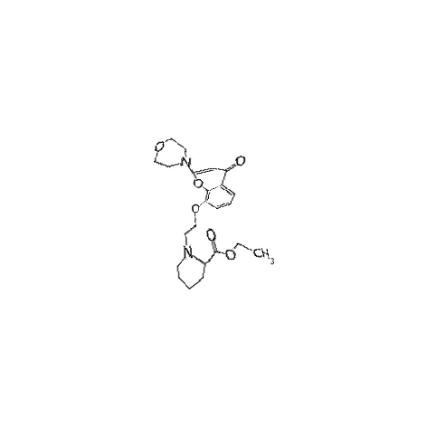 CCOC(=O)C1CCCCN1CCOc1cccc2c(=O)cc(N3CCOCC3)oc12